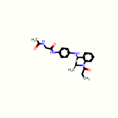 CCC(=O)N1c2ccccc2[C@H](Nc2ccc(NC(=O)CNC(C)=O)cc2)C[C@@H]1C